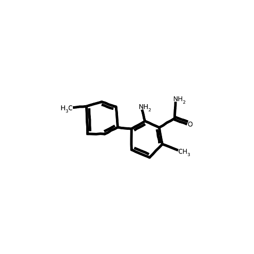 Cc1ccc(-c2ccc(C)c(C(N)=O)c2N)cc1